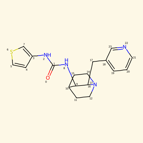 O=C(Nc1ccsc1)NC1C2CCN(CC2)C1Cc1cccnc1